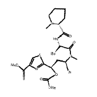 CC[C@H](C)[C@H](NC(=O)[C@H]1CCCCN1C)C(=O)N(C)[C@H](C[C@@H](OC(=O)OC)c1nc(C(=O)OC)cs1)C(C)C